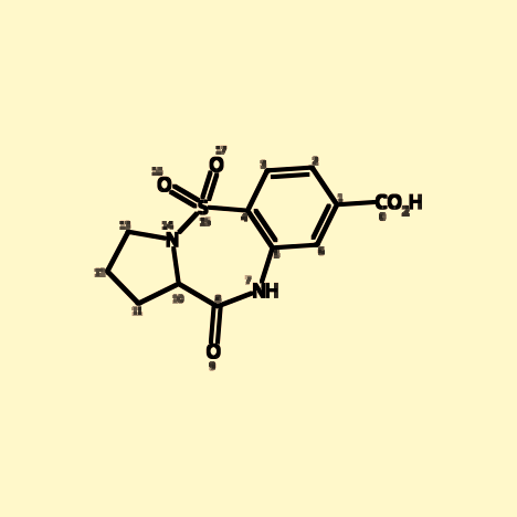 O=C(O)c1ccc2c(c1)NC(=O)C1CCCN1S2(=O)=O